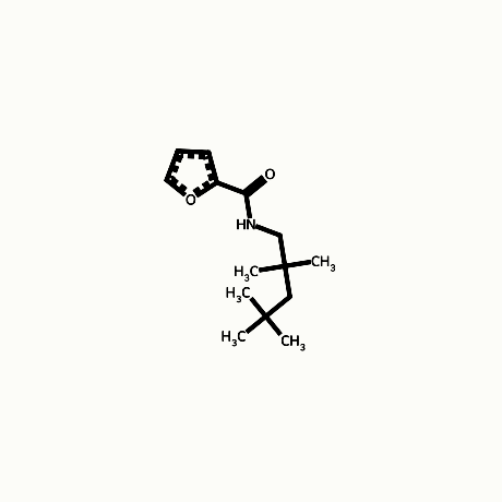 CC(C)(C)CC(C)(C)CNC(=O)c1ccco1